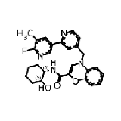 Cc1cc(-c2cc(CN3C=C(C(=O)N[C@H]4CCCC[C@@H]4O)Oc4ccccc43)ccn2)cnc1F